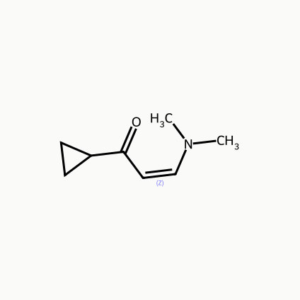 CN(C)/C=C\C(=O)C1CC1